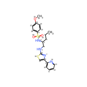 CCCC(CNc1nc(-c2ccccn2)cs1)NS(=O)(=O)c1ccc(OC)cc1